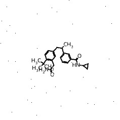 CC(Cc1ccc(C(C)(C)C)c(CC(N)=O)c1)c1cccc(C(=O)NC2CC2)c1